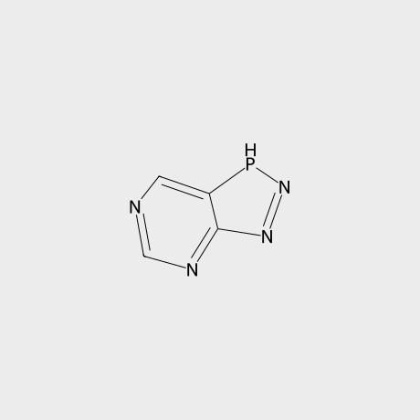 c1ncc2[pH]nnc2n1